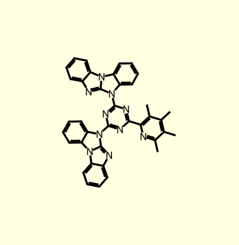 Cc1nc(-c2nc(-n3c4ccccc4n4c5ccccc5nc34)nc(-n3c4ccccc4n4c5ccccc5nc34)n2)c(C)c(C)c1C